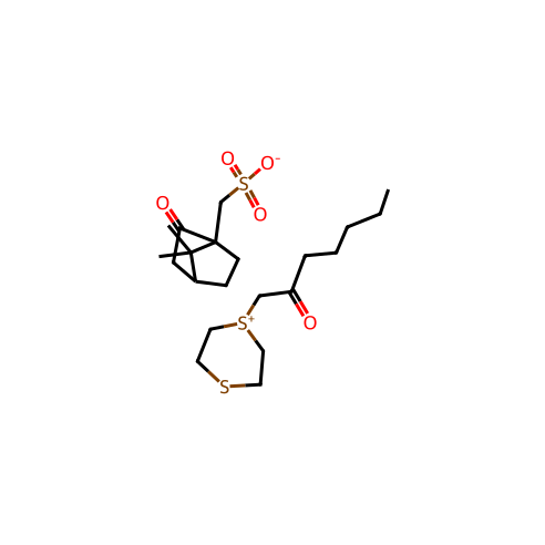 CC1(C)C2CCC1(CS(=O)(=O)[O-])C(=O)C2.CCCCCC(=O)C[S+]1CCSCC1